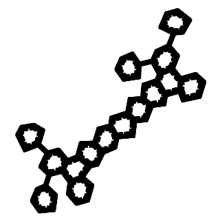 c1ccc(-c2cc(-c3ccccc3)c3c4ccccc4c4cc5cc6cc7cc8cc9c%10ccccc%10c%10cc(-c%11ccccc%11)cc(-c%11ccccc%11)c%10c9cc8cc7cc6cc5cc4c3c2)cc1